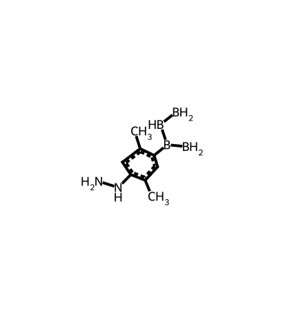 BBB(B)c1cc(C)c(NN)cc1C